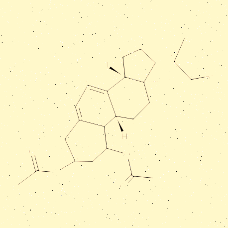 CC(=O)OC1CC2=CC=C3[C@@H]4CC[C@H](C(C)CBr)[C@@]4(C)CC[C@@H]3[C@@]2(C)C(OC(C)=O)C1